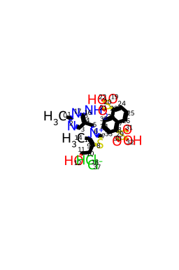 Cc1ncc(C[n+]2csc(CCO)c2C)c(N)n1.Cl.O=S(=O)(O)c1cccc2c(S(=O)(=O)O)cccc12.[Cl-]